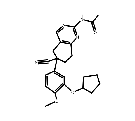 COc1ccc(C2(C#N)CCc3nc(NC(C)=O)ncc3C2)cc1OC1CCCC1